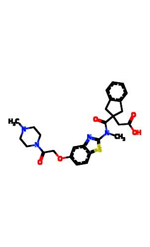 CN1CCN(C(=O)COc2ccc3sc(N(C)C(=O)C4(CC(=O)O)Cc5ccccc5C4)nc3c2)CC1